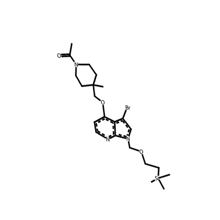 CC(=O)N1CCC(C)(COc2ccnc3c2c(Br)cn3COCC[Si](C)(C)C)CC1